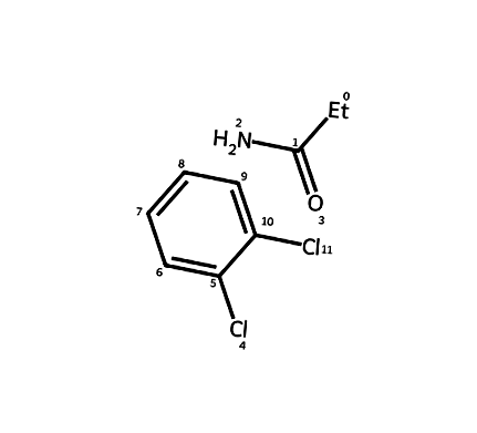 CCC(N)=O.Clc1ccccc1Cl